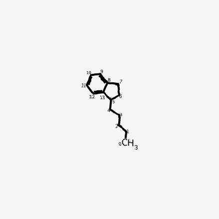 CCCCC[C]1CCc2ccccc21